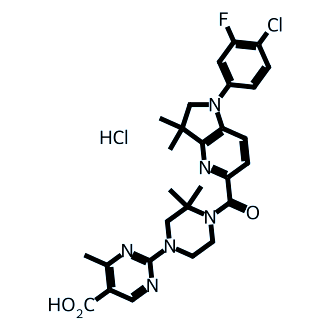 Cc1nc(N2CCN(C(=O)c3ccc4c(n3)C(C)(C)CN4c3ccc(Cl)c(F)c3)C(C)(C)C2)ncc1C(=O)O.Cl